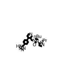 CCCCc1cn(-c2ccnn2C(C)C)c(=O)n1Cc1cnccc1-c1ccc(-c2nnn[nH]2)cc1